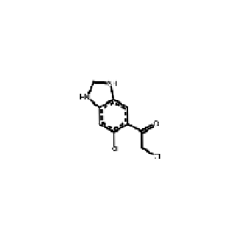 O=C(CCl)c1cc2c(cc1Cl)N[CH]N2